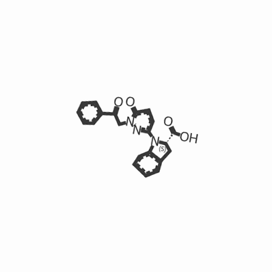 O=C(Cn1nc(N2c3ccccc3C[C@H]2C(=O)O)ccc1=O)c1ccccc1